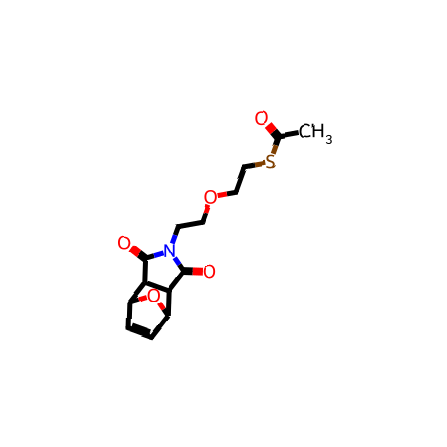 CC(=O)SCCOCCN1C(=O)C2C3C=CC(O3)C2C1=O